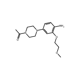 COCCOc1cc(N2CCN(C(C)=O)CC2)ccc1N